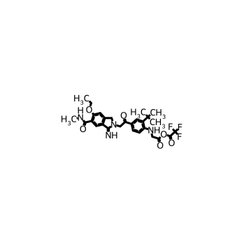 CCOc1cc2c(cc1C(=O)NC)C(=N)N(CC(=O)c1ccc(NCC(=O)OC(=O)C(F)(F)F)c(C(C)(C)C)c1)C2